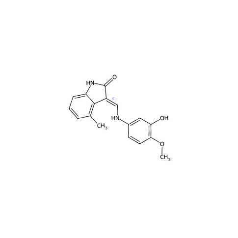 COc1ccc(N/C=C2/C(=O)Nc3cccc(C)c32)cc1O